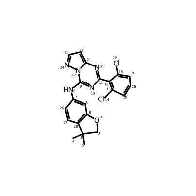 CC1(C)COc2cc(Nc3nc(-c4c(Cl)cccc4Cl)nc4ccnn34)ccc21